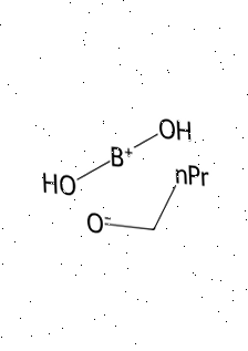 CCCC[O-].O[B+]O